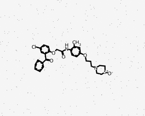 Cc1cc(OCCCN2CC[S+]([O-])CC2)ccc1NC(=O)COc1ccc(Cl)cc1C(=O)c1ccccc1